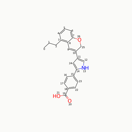 CCCc1cccc2c1C=C(c1c[nH]c(-c3ccc(C(=O)O)cc3)c1)CO2